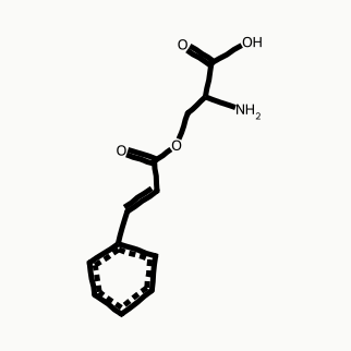 NC(COC(=O)C=Cc1ccccc1)C(=O)O